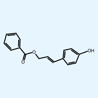 O=C(OCC=Cc1ccc(O)cc1)c1ccccc1